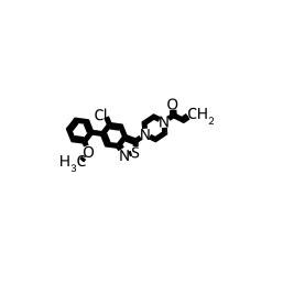 C=CC(=O)N1CCN(c2snc3cc(-c4ccccc4OC)c(Cl)cc23)CC1